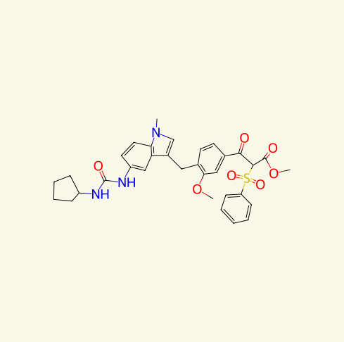 COC(=O)C(C(=O)c1ccc(Cc2cn(C)c3ccc(NC(=O)NC4CCCC4)cc23)c(OC)c1)S(=O)(=O)c1ccccc1